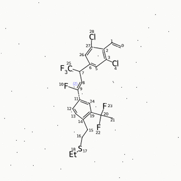 C=Cc1c(Cl)cc(C(/C=C(\F)c2ccc(CCSCC)c(C(C)(F)F)c2)C(F)(F)F)cc1Cl